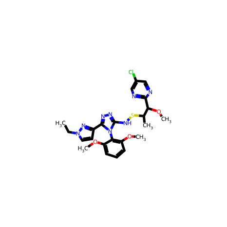 CCn1ccc(-c2nnc(NSC(C)C(OC)c3ncc(Cl)cn3)n2-c2c(OC)cccc2OC)n1